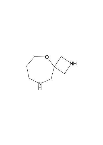 C1CNCC2(CNC2)OC1